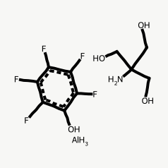 NC(CO)(CO)CO.Oc1c(F)c(F)c(F)c(F)c1F.[AlH3]